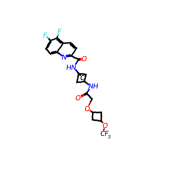 O=C(COC1CC(OC(F)(F)F)C1)NC12CC(NC(=O)c3ccc4c(F)c(F)ccc4n3)(C1)C2